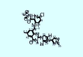 Cc1cc([C@@H](C)Nc2ccc(Cl)nc2C(=O)NS(C)(=O)=O)c2nc(N3C[C@@H]4C[C@H]3CN4c3cnn(C)c3)n(C)c(=O)c2c1